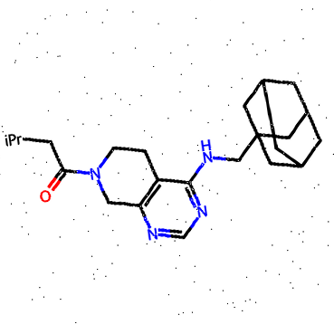 CC(C)CC(=O)N1CCc2c(ncnc2NCC23CC4CC(CC(C4)C2)C3)C1